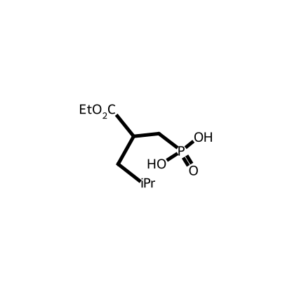 CCOC(=O)C(CC(C)C)CP(=O)(O)O